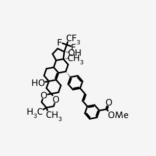 COC(=O)c1cccc(C=Cc2ccc([C@H]3C[C@@]4(C)C(CC[C@@]4(O)C(F)(F)C(F)(F)F)C4CCC5(O)CC6(CCC5=C43)OCC(C)(C)CO6)cc2)c1